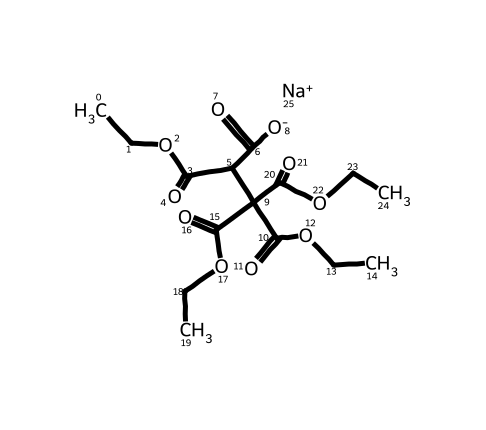 CCOC(=O)C(C(=O)[O-])C(C(=O)OCC)(C(=O)OCC)C(=O)OCC.[Na+]